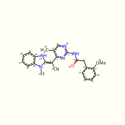 CCN1C(=C(C#N)c2nc(NC(=O)Cc3ccccc3OC)ncc2C)Nc2ccccc21